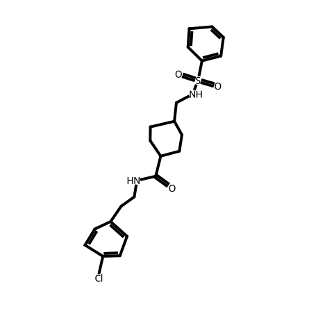 O=C(NCCc1ccc(Cl)cc1)C1CCC(CNS(=O)(=O)c2ccccc2)CC1